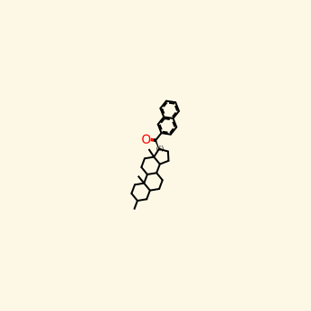 CC1CCC2(C)C(CCC3C2CCC2(C)C3CC[C@@H]2C(=O)c2ccc3ccccc3c2)C1